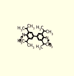 CC(C)c1cc(-c2cc(C(C)C)c(N=C=O)c(C(C)C)c2)cc(C(C)C)c1N=C=O